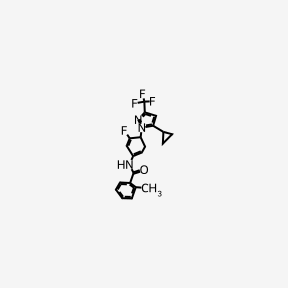 Cc1ccccc1C(=O)NC1=CCC(n2nc(C(F)(F)F)cc2C2CC2)C(F)=C1